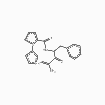 NC(=O)C(=O)C(Cc1ccccc1)NC(=O)c1ccnn1-c1cc[nH]c1